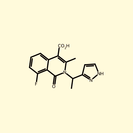 Cc1c(C(=O)O)c2cccc(F)c2c(=O)n1C(C)c1cc[nH]n1